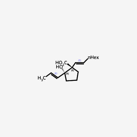 C/C=C/[C@]1(O)CCC[C@]1(/C=C/CCCCCC)C(=O)O